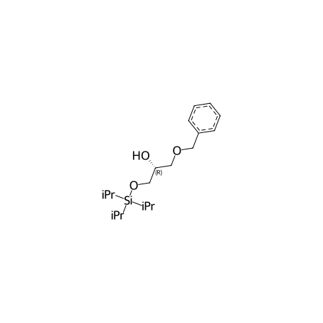 CC(C)[Si](OC[C@H](O)COCc1ccccc1)(C(C)C)C(C)C